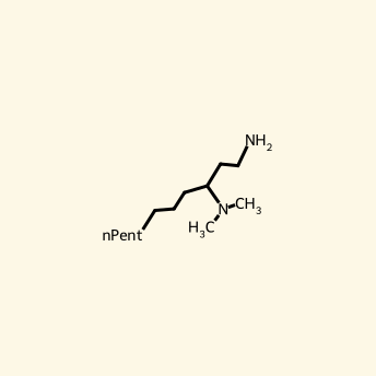 CCCCCCCCC(CCN)N(C)C